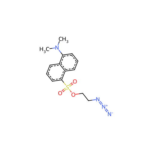 CN(C)c1cccc2c(S(=O)(=O)OCCN=[N+]=[N-])cccc12